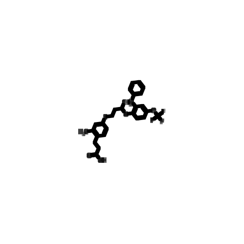 Cc1cc(SCCC(C)Oc2ccc(OC(F)(F)F)cc2Oc2ccccc2)ccc1CCC(=O)O